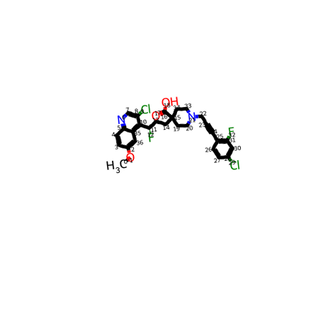 COc1ccc2ncc(Cl)c([C@@H](F)CCC3(C(=O)O)CCN(CC#Cc4ccc(Cl)cc4F)CC3)c2c1